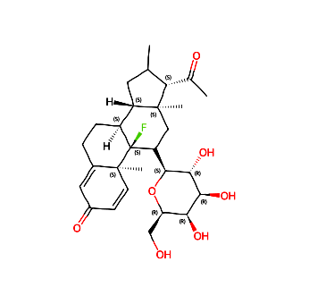 CC(=O)[C@H]1C(C)C[C@H]2[C@@H]3CCC4=CC(=O)C=C[C@]4(C)[C@@]3(F)C([C@@H]3O[C@H](CO)[C@H](O)[C@H](O)[C@H]3O)C[C@]12C